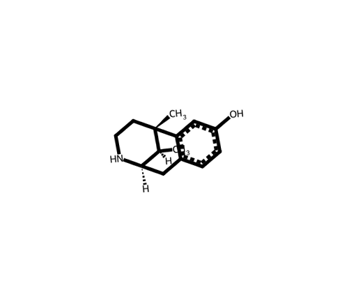 C[C@H]1[C@H]2Cc3ccc(O)cc3[C@@]1(C)CCN2